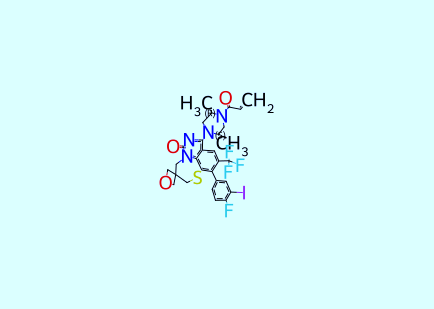 C=CC(=O)N1C[C@H](C)N(c2nc(=O)n3c4c(c(-c5ccc(F)c(I)c5)c(C(F)(F)F)cc24)SCC2(COC2)C3)C[C@H]1C